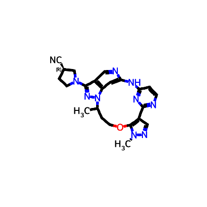 CC1CCOc2c(cnn2C)-c2nccc(n2)Nc2cc3c(cn2)c(N2CC[C@@H](C#N)C2)nn31